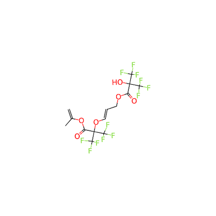 C=C(C)OC(=O)C(OC=CCOC(=O)C(O)(C(F)(F)F)C(F)(F)F)(C(F)(F)F)C(F)(F)F